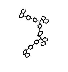 c1ccc2c(-c3ccc(-c4ccc(N(c5ccc(-c6ccc(N(c7ccc(-c8ccc(-c9cccc%10ccccc9%10)cc8)cc7)c7cccc8ccccc78)cc6)cc5)c5cccc6ccccc56)cc4)cc3)cccc2c1